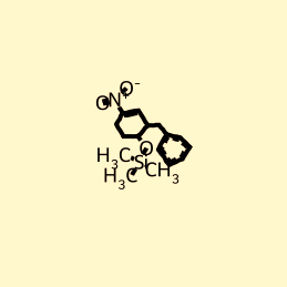 C[Si](C)(C)OC1CCC([N+](=O)[O-])=CC1Cc1ccccc1